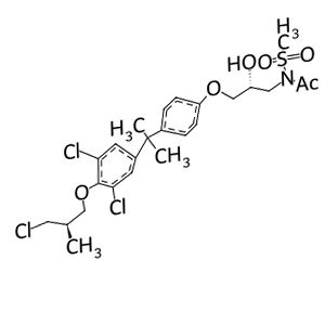 CC(=O)N(C[C@@H](O)COc1ccc(C(C)(C)c2cc(Cl)c(OC[C@@H](C)CCl)c(Cl)c2)cc1)S(C)(=O)=O